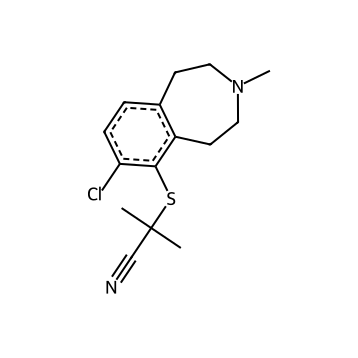 CN1CCc2ccc(Cl)c(SC(C)(C)C#N)c2CC1